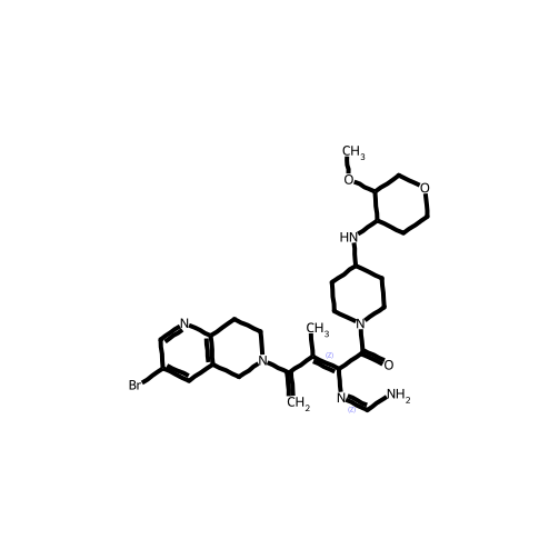 C=C(/C(C)=C(\N=C/N)C(=O)N1CCC(NC2CCOCC2OC)CC1)N1CCc2ncc(Br)cc2C1